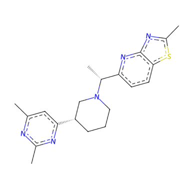 Cc1cc([C@H]2CCCN([C@H](C)c3ccc4sc(C)nc4n3)C2)nc(C)n1